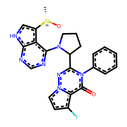 C[S@+]([O-])c1c[nH]c2ncnc(N3CCCC3c3nn4ccc(F)c4c(=O)n3-c3ccccc3)c12